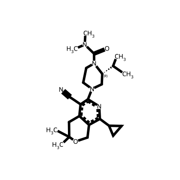 CC(C)[C@@H]1CN(c2nc(C3CC3)c3c(c2C#N)CC(C)(C)OC3)CCN1C(=O)N(C)C